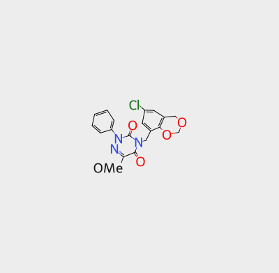 COc1nn(-c2ccccc2)c(=O)n(Cc2cc(Cl)cc3c2OCOC3)c1=O